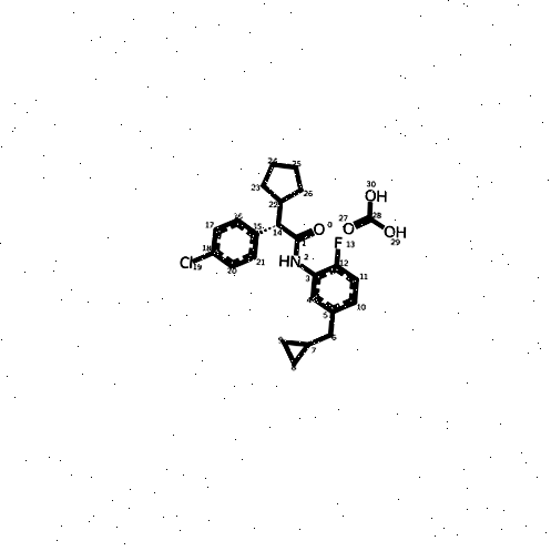 O=C(Nc1cc(CC2CC2)ccc1F)[C@H](c1ccc(Cl)cc1)C1CCCC1.O=C(O)O